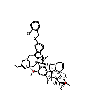 CCC1=C[C@H]2CN(C1)Cc1c([nH]c3ccc(SCc4ccccc4Cl)cc13)[C@@](C(=O)OC)(c1cc3c(cc1OC)N(C)[C@H]1[C@@](O)(C(=O)OC)[C@H](OC(C)=O)[C@]4(CC)C=CCN5CC[C@]31[C@@H]54)C2